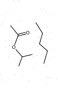 CC(=O)OC(C)C.CCCCC